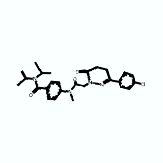 CC(C)N(C(=O)c1ccc(N(C)C(=O)CN2N=C(c3ccc(Cl)cc3)CCC2=O)cc1)C(C)C